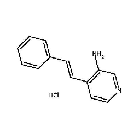 Cl.Nc1cnccc1C=Cc1ccccc1